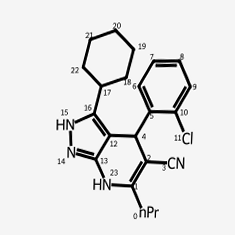 CCCC1=C(C#N)C(c2ccccc2Cl)c2c(n[nH]c2C2CCCCC2)N1